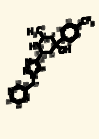 C[C@H]1CC(O)(c2ccc(C(F)(F)F)cc2)C[C@@H](c2cn(Cc3cnccn3)nn2)N1